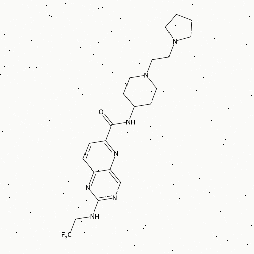 O=C(NC1CCN(CCN2CCCC2)CC1)c1ccc2nc(NCC(F)(F)F)ncc2n1